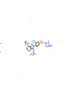 Cc1cnc(Cn2c(-c3ccc(OCCN4CCNC[C@@H]4C)cc3Cl)nc3c(OC4(C)CC4)ncnc32)s1